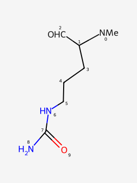 CNC(C=O)CCCNC(N)=O